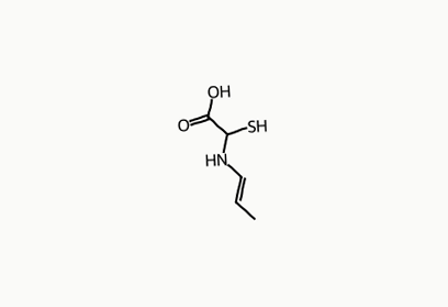 CC=CNC(S)C(=O)O